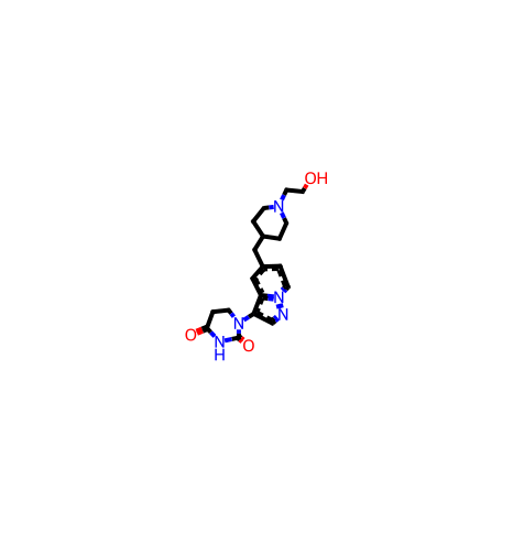 O=C1CCN(c2cnn3ccc(CC4CCN(CCO)CC4)cc23)C(=O)N1